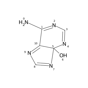 NC1=NC=NC2(O)N=CN=C12